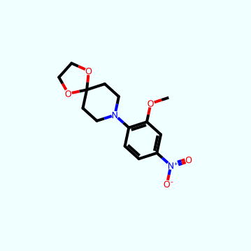 COc1cc([N+](=O)[O-])ccc1N1CCC2(CC1)OCCO2